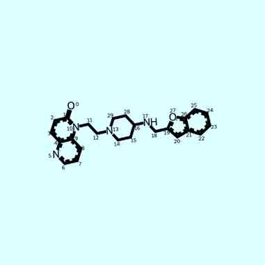 O=c1ccc2ncccc2n1CCN1CCC(NCc2cc3ccccc3o2)CC1